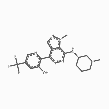 CN1CCC[C@@H](Nc2nnc(-c3ncc(C(F)(F)F)cc3O)c3cnn(C)c23)C1